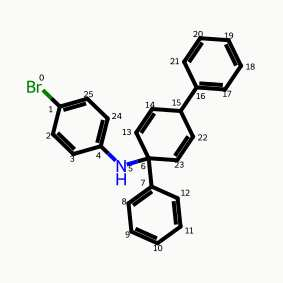 Brc1ccc(NC2(c3ccccc3)C=CC(c3ccccc3)C=C2)cc1